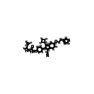 CC(NC(=O)Nc1ccc(-c2c(C#N)c3ccc(OCCn4cncn4)cc3n2C2CCC2)cc1)C1CC1